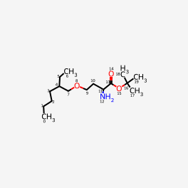 CCCCC(CC)COCCC(N)C(=O)OC(C)(C)C